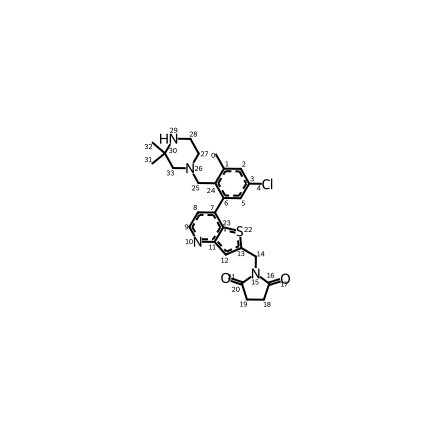 Cc1cc(Cl)cc(-c2ccnc3cc(CN4C(=O)CCC4=O)sc23)c1CN1CCNC(C)(C)C1